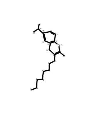 CCCCCCCCC1=C(C)Oc2ccc(C(C)C)cc2C1